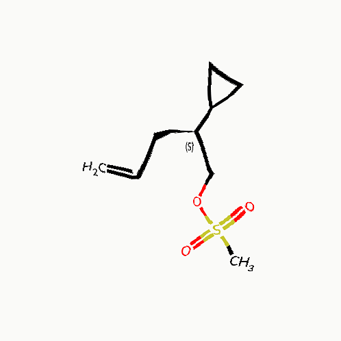 C=CC[C@H](COS(C)(=O)=O)C1CC1